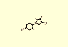 Cc1nn(-c2ccc(Br)cc2)cc1Cl